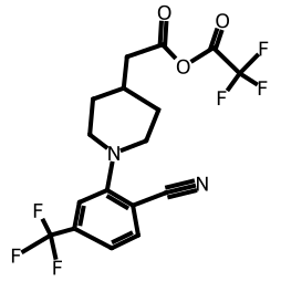 N#Cc1ccc(C(F)(F)F)cc1N1CCC(CC(=O)OC(=O)C(F)(F)F)CC1